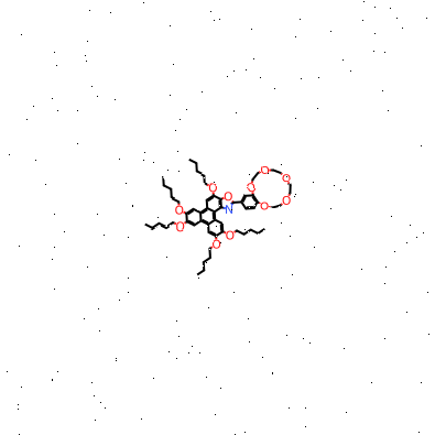 CCCCCOc1cc2c3cc(OCCCCC)c(OCCCCC)cc3c3c(cc(OCCCCC)c4oc(-c5ccc6c(c5)OCCOCCOCCOCCO6)nc43)c2cc1OCCCCC